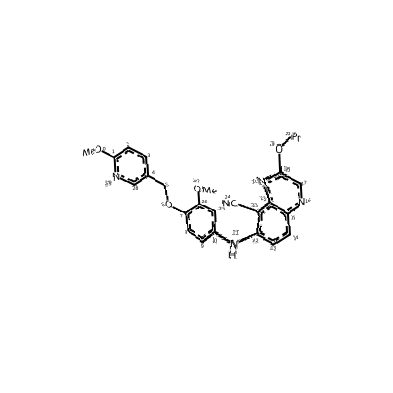 COc1ccc(COc2ccc(Nc3ccc4ncc(OC(C)C)nc4c3C#N)cc2OC)cn1